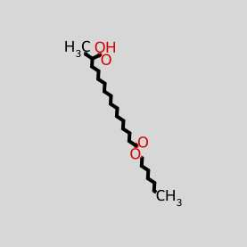 CCCCCCCOC(=O)CCCCCCCCCCCCCC(CC)C(=O)O